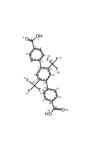 O=C(O)c1ccc(-c2cc(C(F)(F)F)c(-c3ccc(C(=O)O)cc3)cc2C(F)(F)F)cc1